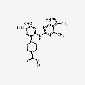 Cc1c[nH]c2nc(Nc3ncccc3N3CCN(C(=O)OC(C)(C)C)CC3)nc(C)c12.NC=O